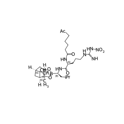 CC(=O)CCCCC(=O)N[C@@H](CCCNC(=N)N[N+](=O)[O-])C(=O)N[C@@H](CC(C)C)B1O[C@@H]2C[C@@H]3C[C@@H](C3(C)C)[C@]2(C)O1